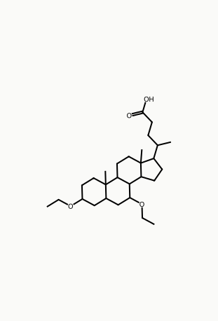 CCOC1CCC2(C)C(C1)CC(OCC)C1C2CCC2(C)C(C(C)CCC(=O)O)CCC12